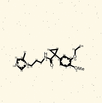 COc1ccc(C2(C(=O)NCCCn3cncc3C)CC2)cc1OCI